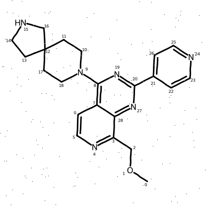 COCc1nccc2c(N3CCC4(CCNC4)CC3)nc(-c3ccncc3)nc12